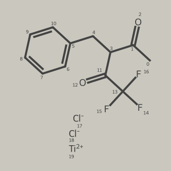 CC(=O)C(Cc1ccccc1)C(=O)C(F)(F)F.[Cl-].[Cl-].[Ti+2]